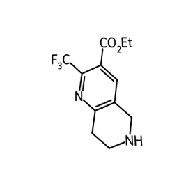 CCOC(=O)c1cc2c(nc1C(F)(F)F)CCNC2